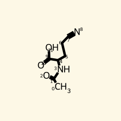 CC(=O)NC(CCC#N)C(=O)O